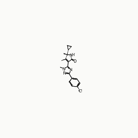 CC1=C(c2nc(-c3ccc(Cl)cc3)nn2C)C(=O)NC1(C)C1CC1